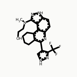 CN(CCO)c1n[nH]c2ccc3nc(-c4c[nH]nc4C(F)(F)F)c4c(c3c12)CCCC4